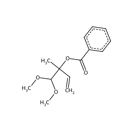 C=CC(C)(OC(=O)c1ccccc1)C(OC)OC